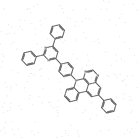 c1ccc(-c2cc3c4c(ncnc4c2)N(c2ccc(-c4cc(-c5ccccc5)nc(-c5ccccc5)n4)cc2)c2ccccc2-3)cc1